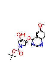 COc1ccc2ncnc(O[C@H]3CN(C(=O)OC(C)(C)C)C[C@H]3O)c2c1